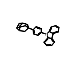 c1ccc2c(c1)c1ccccc1n2-c1ccc(C23CC4CC(C2)C(C4)C3)cc1